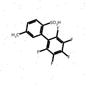 Cc1ccc(S(=O)(=O)O)c(-c2c(F)c(F)c(F)c(F)c2F)c1